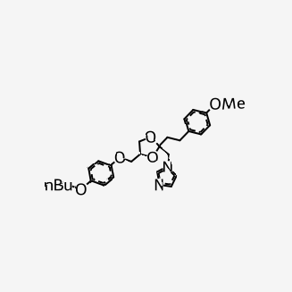 CCCCOc1ccc(OCC2COC(CCc3ccc(OC)cc3)(Cn3ccnc3)O2)cc1